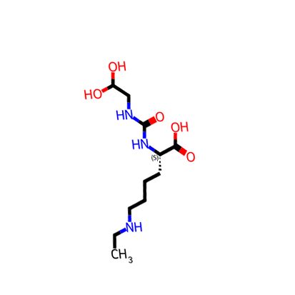 CCNCCCC[C@H](NC(=O)NCC(O)O)C(=O)O